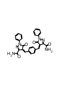 NC(=O)C1=NN(c2ccccc2)C(=O)C1=Cc1ccc(C=C2C(=O)N(c3ccccc3)N=C2C(N)=O)cc1